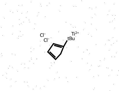 CC(C)(C)C1=CC=CC1.[Cl-].[Cl-].[Ti+2]